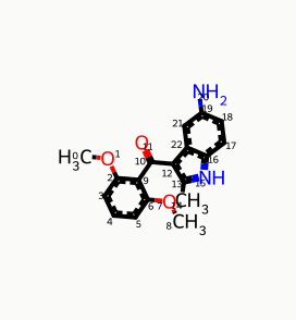 COc1cccc(OC)c1C(=O)c1c(C)[nH]c2ccc(N)cc12